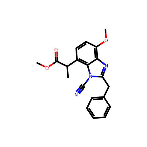 COC(=O)C(C)c1ccc(OC)c2nc(Cc3ccccc3)n(C#N)c12